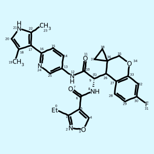 CCc1nocc1C(=O)N[C@H](C(=O)Nc1ccc(-c2c(C)c[nH]c2C)nc1)C1c2ccc(F)cc2OCC12CC2